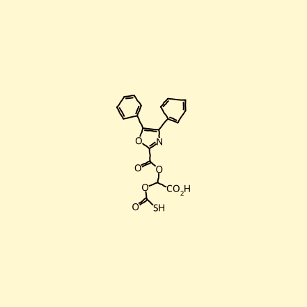 O=C(S)OC(OC(=O)c1nc(-c2ccccc2)c(-c2ccccc2)o1)C(=O)O